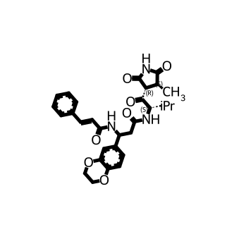 CC(C)[C@H](NC(=O)CC(NC(=O)C=Cc1ccccc1)c1ccc2c(c1)OCCO2)C(=O)[C@@H]1C(=O)NC(=O)[C@H]1C